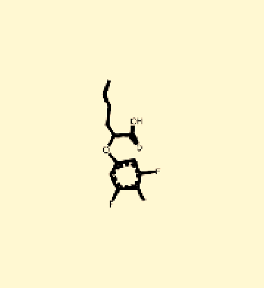 CCCCC(Oc1cc(F)c(C)c(F)c1)C(=O)O